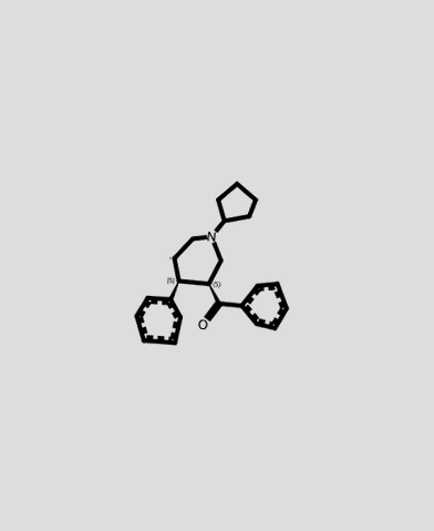 O=C(c1ccccc1)[C@@H]1CN(C2CCCC2)C[CH][C@@H]1c1ccccc1